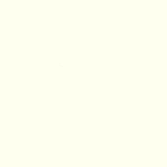 CC(C)c1ccc(C2COC2)c(F)c1